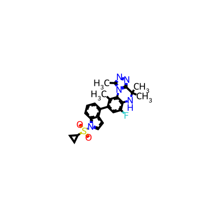 Cc1c(-c2cccc3c2ccn3S(=O)(=O)C2CC2)cc(F)c2c1-n1c(C)nnc1C(C)(C)N2